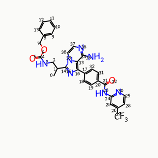 CC(CNC(=O)OCc1ccccc1)c1nc(-c2ccc(C(=O)Nc3cc(C(F)(F)F)ccn3)cc2)c2c(N)nccn12